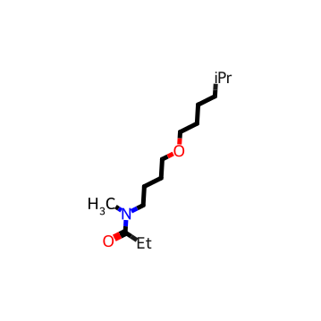 CCC(=O)N(C)CCCCOCCCCC(C)C